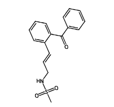 CS(=O)(=O)NCC=Cc1ccccc1C(=O)c1ccccc1